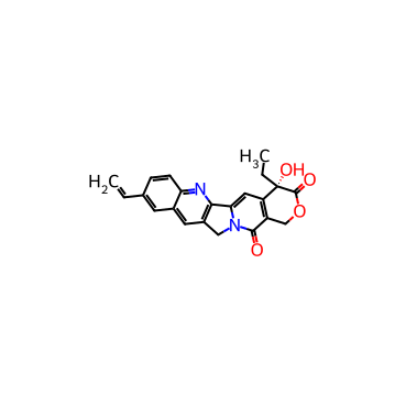 C=Cc1ccc2nc3c(cc2c1)Cn1c-3cc2c(c1=O)COC(=O)[C@]2(O)CC